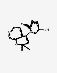 CC1(C)C=C(n2cc(O)ccc2=O)c2ccncc2O1